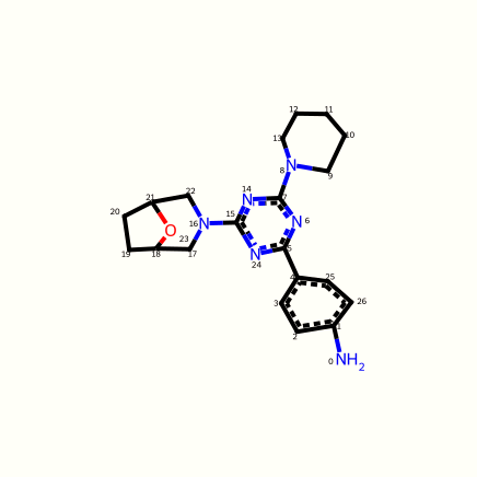 Nc1ccc(-c2nc(N3CCCCC3)nc(N3CC4CCC(C3)O4)n2)cc1